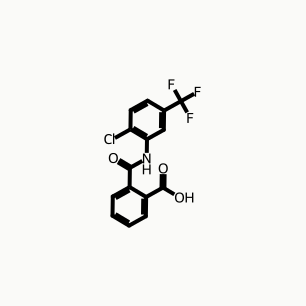 O=C(O)c1ccccc1C(=O)Nc1cc(C(F)(F)F)ccc1Cl